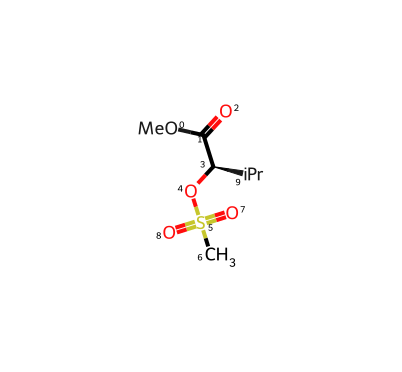 COC(=O)[C@H](OS(C)(=O)=O)C(C)C